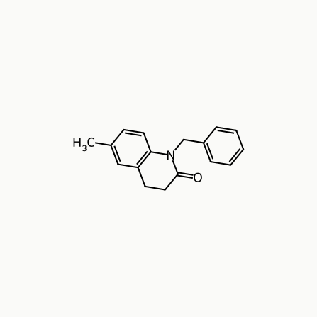 Cc1ccc2c(c1)CCC(=O)N2Cc1ccccc1